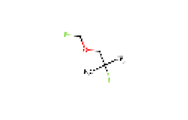 FCOCC(F)(C(F)(F)F)C(F)(F)F